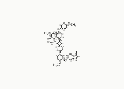 C=Cc1ccc(N2CCC3(CC2)CC(N2CCN(Cc4ccc(OC)cc4)CC2c2ccccc2C(C)C)C3)cc1Oc1cnc2[nH]ccc2c1